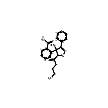 CCCCC(=O)C1ON=C(c2ccncc2)C1(N)c1ccccc1C(=O)O